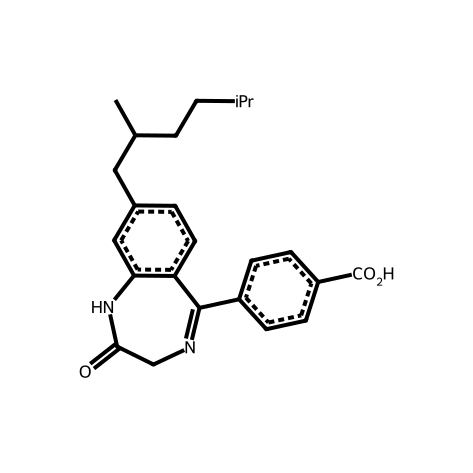 CC(C)CCC(C)Cc1ccc2c(c1)NC(=O)CN=C2c1ccc(C(=O)O)cc1